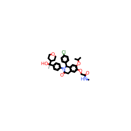 CNC(=O)COc1cc2c(cc1OC(C)C)C(c1ccc(Cl)cc1)N(c1ccc([C@@](C)(O)C3CCOCC3)cc1)C(=O)C2